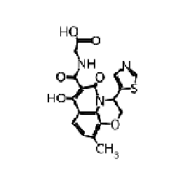 Cc1ccc2c(O)c(C(=O)NCC(=O)O)c(=O)n3c2c1OCC3c1cncs1